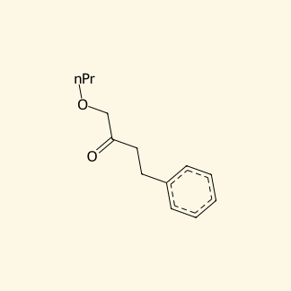 CCCOCC(=O)CCc1ccccc1